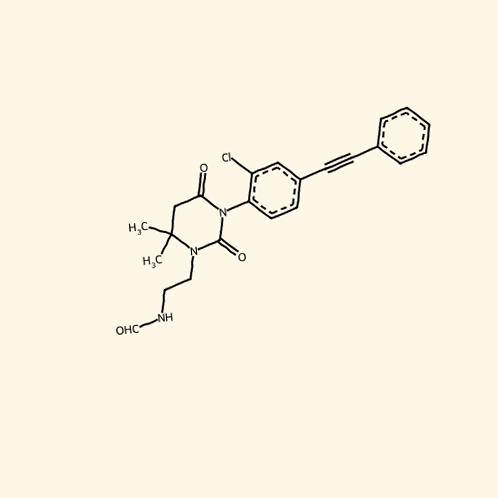 CC1(C)CC(=O)N(c2ccc(C#Cc3ccccc3)cc2Cl)C(=O)N1CCNC=O